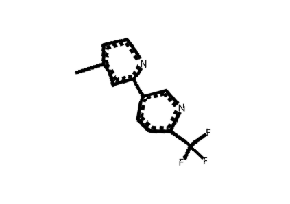 Cc1ccnc(-c2ccc(C(F)(F)F)nc2)c1